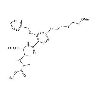 CCOC(=O)[C@H](NC(=O)c1ccc(OCCOCCOC)cc1OCc1ccccc1)[C@@H]1CC[C@H](C(=O)OC(C)(C)C)N1C